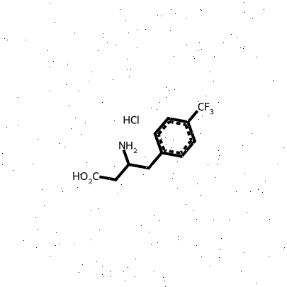 Cl.NC(CC(=O)O)Cc1ccc(C(F)(F)F)cc1